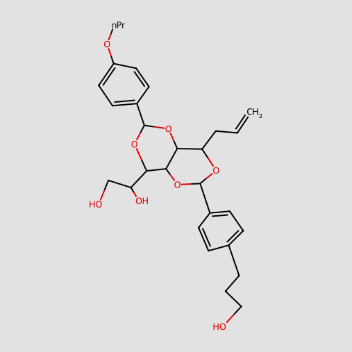 C=CCC1OC(c2ccc(CCCO)cc2)OC2C(C(O)CO)OC(c3ccc(OCCC)cc3)OC12